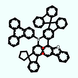 c1ccc2c(c1)-c1ccc(N(c3ccc4c5ccccc5c5ccccc5c4c3)c3cc4c(cc3-c3cccc5c3oc3ccccc35)-c3ccccc3C43c4ccccc4-c4ccccc43)cc1C21CCCC1